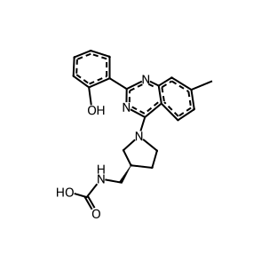 Cc1ccc2c(N3CC[C@@H](CNC(=O)O)C3)nc(-c3ccccc3O)nc2c1